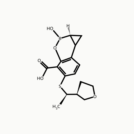 C[C@@H](Sc1ccc2c(c1C(=O)O)OB(O)[C@H]1CC21)[C@H]1CCOC1